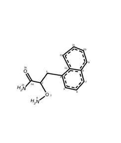 NOC(Cc1cccc2ccccc12)C(N)=O